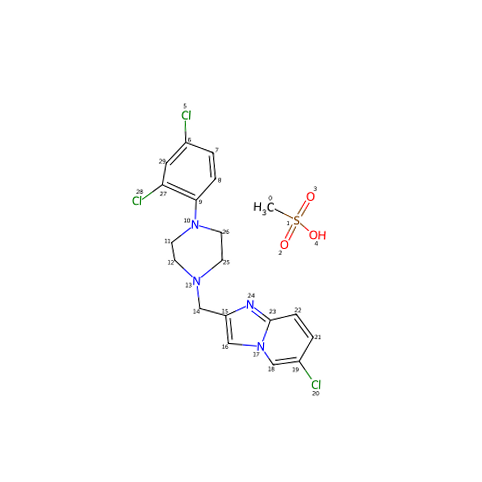 CS(=O)(=O)O.Clc1ccc(N2CCN(Cc3cn4cc(Cl)ccc4n3)CC2)c(Cl)c1